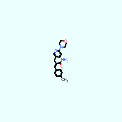 Cc1ccc(C=C(Cc2ccc(N3CCOCC3)nc2)C(N)=O)cc1